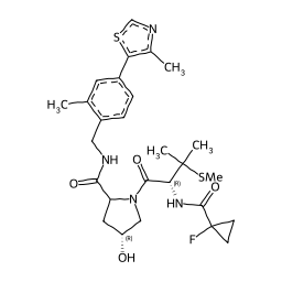 CSC(C)(C)[C@H](NC(=O)C1(F)CC1)C(=O)N1C[C@H](O)CC1C(=O)NCc1ccc(-c2scnc2C)cc1C